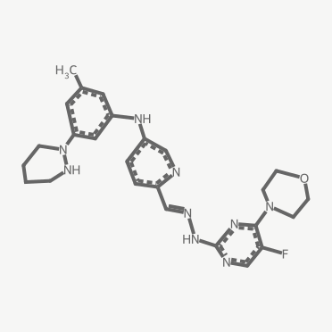 Cc1cc(Nc2ccc(/C=N/Nc3ncc(F)c(N4CCOCC4)n3)nc2)cc(N2CCCCN2)c1